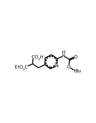 CCOC(=O)C(Cc1ccc(NC(=O)OC(C)(C)C)nc1)C(=O)O